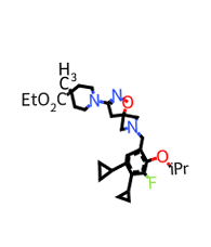 CCOC(=O)C1(C)CCN(C2=NOC3(C2)CN(Cc2cc(C4CC4)c(C4CC4)c(F)c2OC(C)C)C3)CC1